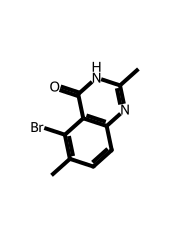 Cc1nc2ccc(C)c(Br)c2c(=O)[nH]1